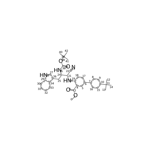 COC(=O)c1cc(-c2ccc(C(C)(C)C)cc2)ccc1NC(C#N)C(Cc1c[nH]c2ccccc12)NC(=O)OC(C)(C)C